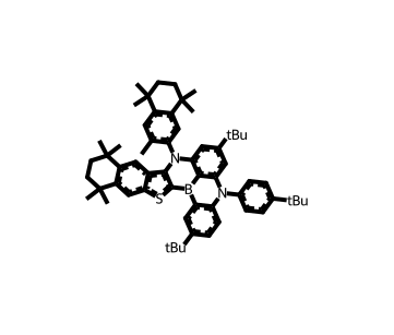 Cc1cc2c(cc1N1c3cc(C(C)(C)C)cc4c3B(c3cc(C(C)(C)C)ccc3N4c3ccc(C(C)(C)C)cc3)c3sc4cc5c(cc4c31)C(C)(C)CCC5(C)C)C(C)(C)CCC2(C)C